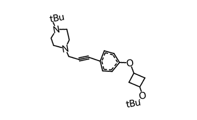 CC(C)(C)OC1CC(Oc2ccc(C#CCN3CCN(C(C)(C)C)CC3)cc2)C1